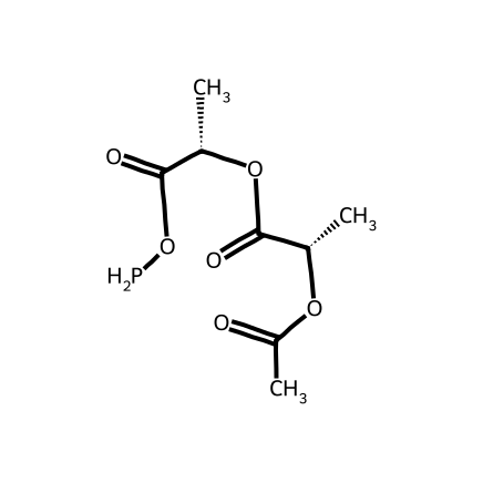 CC(=O)O[C@@H](C)C(=O)O[C@@H](C)C(=O)OP